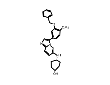 COc1ccc(-c2cnc3ccc(N[C@H]4CC[C@H](O)CC4)nn23)cc1OCc1ccccc1